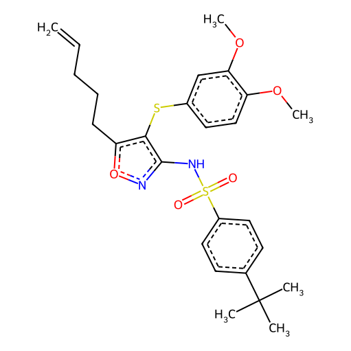 C=CCCCc1onc(NS(=O)(=O)c2ccc(C(C)(C)C)cc2)c1Sc1ccc(OC)c(OC)c1